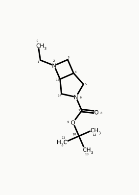 CCN1CC2CN(C(=O)OC(C)(C)C)CC21